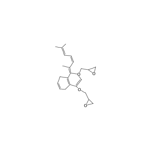 C/C=C(/OCC1CO1)C1=C(/C(OCC2CO2)=C(C)/C=C\C=C(C)C)CC=CC1